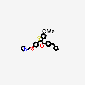 COc1ccc2c(C(=O)c3ccc(CC4CCCC4)cc3)c(-c3ccc(OCCN4CCCC4)cc3)sc2c1